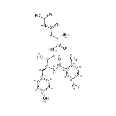 CCC(CC)NC(=O)C[C@@H](C(=O)NC[C@@H](O)[C@H](Cc1ccc(O)cc1)NC(=O)c1cc(C)ccc1C)C(C)(C)C